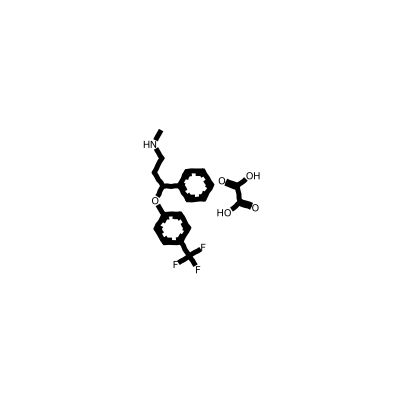 CNCCC(Oc1ccc(C(F)(F)F)cc1)c1ccccc1.O=C(O)C(=O)O